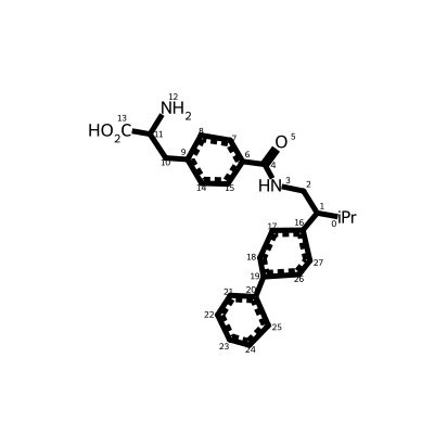 CC(C)C(CNC(=O)c1ccc(CC(N)C(=O)O)cc1)c1ccc(-c2ccccc2)cc1